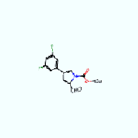 CC(C)(C)OC(=O)N1C[C@H](c2cc(F)cc(F)c2)CC1C=O